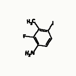 Cc1c(I)ccc(N)c1F